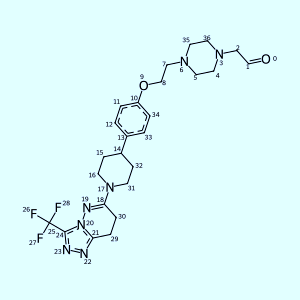 O=CCN1CCN(CCOc2ccc(C3CCN(C4=Nn5c(nnc5C(F)(F)F)CC4)CC3)cc2)CC1